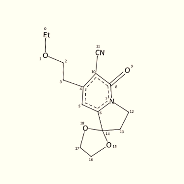 CCOCCc1cc2n(c(=O)c1C#N)CCC21OCCO1